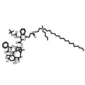 CCCCCCCCCCCCCCCCCC[N+](C)(CCCCC)CCNC(=O)CCC(=O)OC(C(=O)O[C@H]1C[C@@]2(O)[C@@H](OC(=O)c3ccccc3)[C@@H]3[C@]4(OC(C)=O)CO[C@@H]4C[C@H](O)[C@@]3(C)C(=O)[C@H](C)C(=C1C)C2(C)C)[C@@H](NC(=O)OC(C)(C)C)c1ccccc1